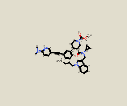 COCCCn1cc(CN(C(=O)[C@H]2CN(C(=O)OC(C)(C)C)CC[C@@H]2c2cccc(C#Cc3ccc(N(C)C)nc3)c2)C2CC2)c2ccccc21